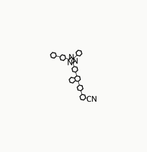 N#Cc1cccc(-c2ccc(-c3ccc(-c4ccc(-c5nc(-c6ccccc6)nc(-c6ccc(-c7ccccc7)cc6)n5)cc4)c4ccccc34)cc2)c1